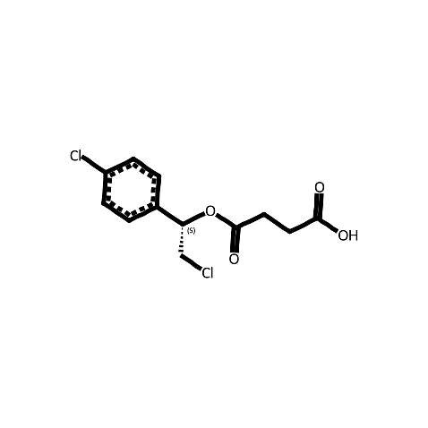 O=C(O)CCC(=O)O[C@H](CCl)c1ccc(Cl)cc1